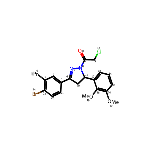 CCCc1cc(C2=NN(C(=O)CCl)C(c3cccc(OC)c3OC)C2)ccc1Br